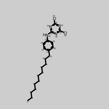 CCCCCCCCCCCCc1ccc(Nc2nc(Cl)nc(Cl)n2)cc1